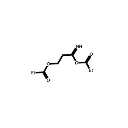 CCC(=O)OCCC(=N)OC(=O)CC